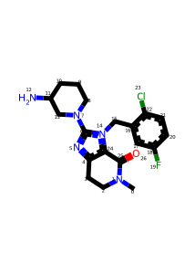 CN1CCc2nc(N3CCCC(N)C3)n(Cc3cc(F)ccc3Cl)c2C1=O